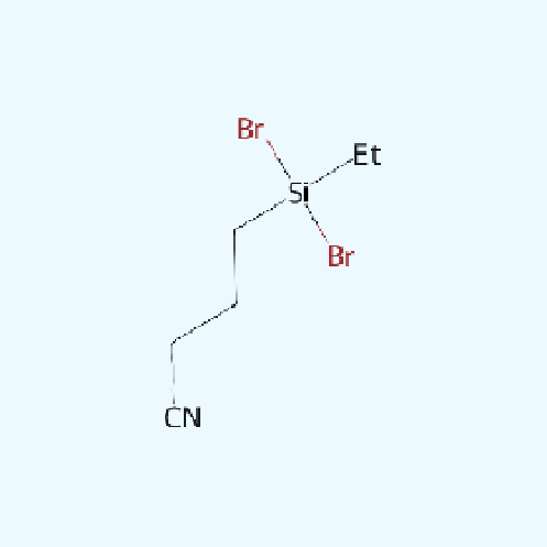 CC[Si](Br)(Br)CCCC#N